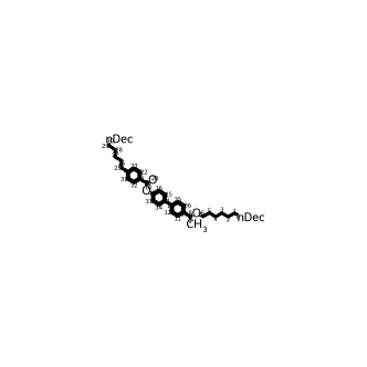 CCCCCCCCCCCCCCCCOC(C)c1ccc(-c2ccc(OC(=O)c3ccc(CCCCCCCCCCCCCCC)cc3)cc2)cc1